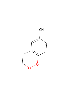 N#Cc1ccc2c(c1)CCOO2